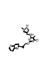 Cc1c(Cl)nc(OCC2CC2c2ccc3ncccc3n2)nc1NCC1=CN(C)NC1